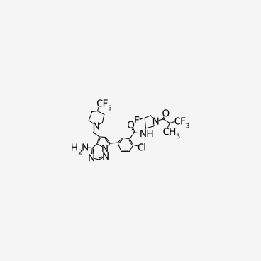 CC(C(=O)N1C[C@H](F)[C@H](NC(=O)c2cc(-c3cc(CN4CCC(C(F)(F)F)CC4)c4c(N)ncnn34)ccc2Cl)C1)C(F)(F)F